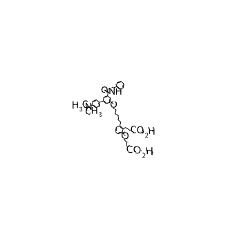 CN(C)c1ccc(-c2cc(OCCCCCCc3cccc(OCCCC(=O)O)c3CCC(=O)O)cc(C(=O)NCc3ccccc3)c2)cc1